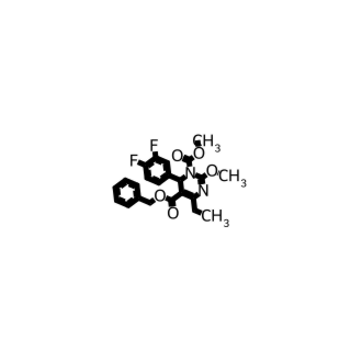 CCC1=C(C(=O)OCc2ccccc2)C(c2ccc(F)c(F)c2)N(C(=O)OC)C(OC)=N1